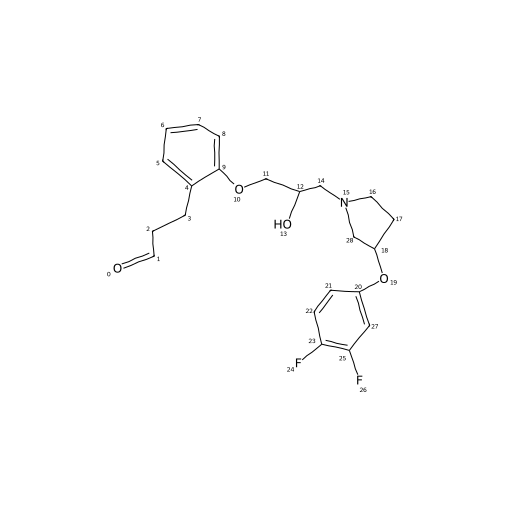 O=CCCc1ccccc1OCC(O)CN1CCC(Oc2ccc(F)c(F)c2)C1